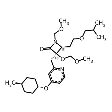 COCO[C@@]1(Cc2cc(O[C@H]3CC[C@H](C)CC3)ccn2)C(=O)N(COC)[C@H]1CCOCC(C)C